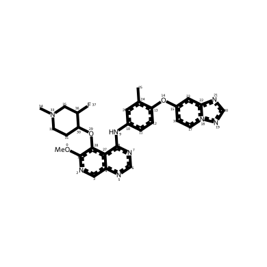 COc1ncc2ncnc(Nc3ccc(Oc4ccn5ncnc5c4)c(C)c3)c2c1OC1CCN(C)CC1F